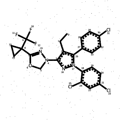 CCc1c(N2COC(C3(C(F)(F)F)CC3)=N2)nn(-c2ccc(Cl)cc2Cl)c1-c1ccc(Cl)cc1